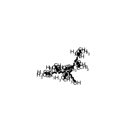 CC(C)(C)OC(=O)NCCCN(CCCCN(CC(CCCCCCO)CN(CCCCN(CCCNC(=O)OC(C)(C)C)C(=O)OC(C)(C)C)C(=O)OC(C)(C)C)C(=O)OC(C)(C)C)C(=O)OC(C)(C)C